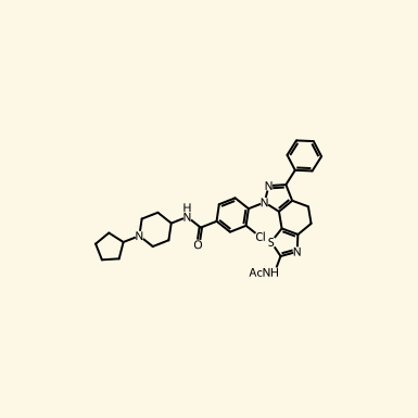 CC(=O)Nc1nc2c(s1)-c1c(c(-c3ccccc3)nn1-c1ccc(C(=O)NC3CCN(C4CCCC4)CC3)cc1Cl)CC2